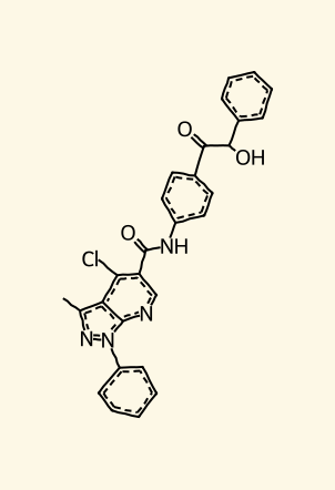 Cc1nn(-c2ccccc2)c2ncc(C(=O)Nc3ccc(C(=O)C(O)c4ccccc4)cc3)c(Cl)c12